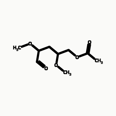 COC(C=O)CC(COC(C)=O)OC